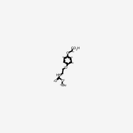 CC(C)(C)OC(=O)NCCOc1ccc(OCC(=O)O)cc1